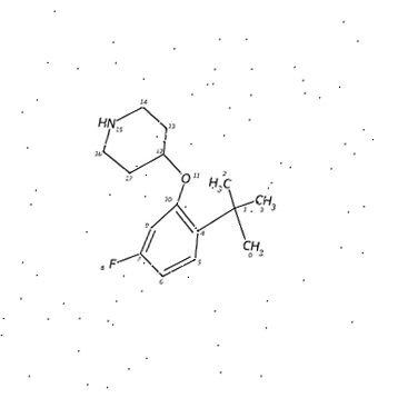 CC(C)(C)c1ccc(F)cc1OC1CCNCC1